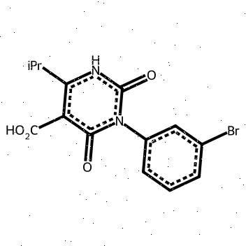 CC(C)c1[nH]c(=O)n(-c2cccc(Br)c2)c(=O)c1C(=O)O